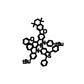 CC(C)(C)c1ccc(N2B3c4cc5c(-c6ccccc6)sc(-c6ccccc6)c5cc4N(c4ccc(C(C)(C)C)cc4-c4ccccc4)c4cc5c(oc6ccccc65)c(c43)-c3cc4c(cc32)oc2cc3c(cc24)C(C)(C)CCC3(C)C)cc1